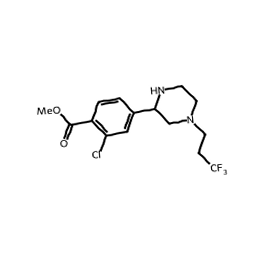 COC(=O)c1ccc(C2CN(CCC(F)(F)F)CCN2)cc1Cl